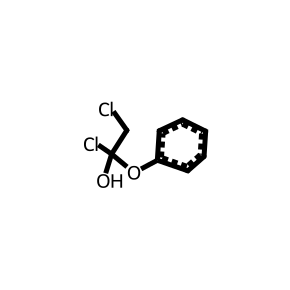 OC(Cl)(CCl)Oc1ccccc1